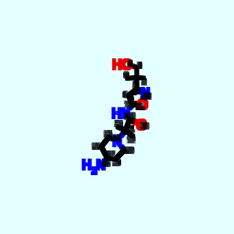 CC(C)(CO)c1cc(NC(=O)C(C)(C)N2CCC(N)CC2)on1